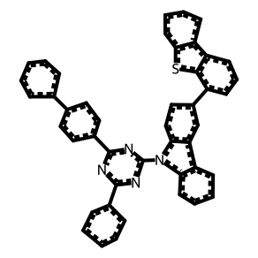 c1ccc(-c2ccc(-c3nc(-c4ccccc4)nc(-n4c5ccccc5c5cc(-c6cccc7c6sc6ccccc67)ccc54)n3)cc2)cc1